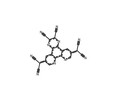 N#CC(C#N)=c1cnc2c(c1)c1nc(C#N)c(C#N)nc1c1cc(=C(C#N)C#N)cnc12